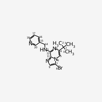 CC(C)(C)c1cn2c(Br)cnc2c(NCc2cccnc2)n1